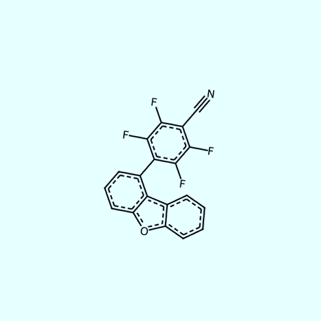 N#Cc1c(F)c(F)c(-c2cccc3oc4ccccc4c23)c(F)c1F